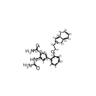 NC(=O)Nc1cc(-c2ccccc2OCCN2C=C3CC=CC=C3C2)sc1C(N)=O